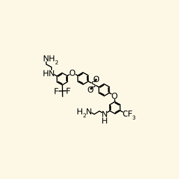 CC(F)(F)c1cc(NCCN)cc(Oc2ccc(S(=O)(=O)c3ccc(Oc4cc(NCCN)cc(C(F)(F)F)c4)cc3)cc2)c1